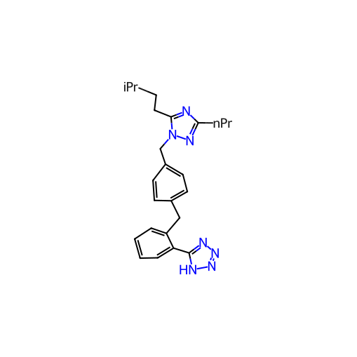 CCCc1nc(CCC(C)C)n(Cc2ccc(Cc3ccccc3-c3nnn[nH]3)cc2)n1